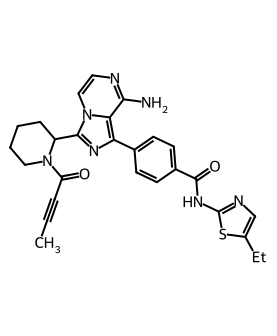 CC#CC(=O)N1CCCCC1c1nc(-c2ccc(C(=O)Nc3ncc(CC)s3)cc2)c2c(N)nccn12